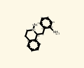 CC(=O)N1CCc2ccccc2C1Cc1ccccc1N